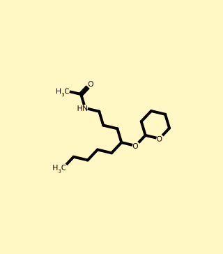 CCCCCC(CCCNC(C)=O)OC1CCCCO1